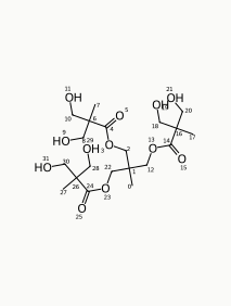 CC(COC(=O)C(C)(CO)CO)(COC(=O)C(C)(CO)CO)COC(=O)C(C)(CO)CO